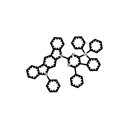 c1ccc(-c2nc(-n3c4ccccc4c4cc5c6ccccc6n(-c6ccccc6)c5cc43)nc3c2-c2ccccc2[Si]3(c2ccccc2)c2ccccc2)cc1